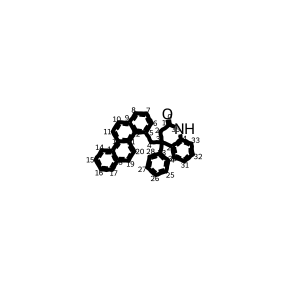 O=C1CC(Cc2cccc3ccc4c5ccccc5ccc4c23)(c2ccccc2)c2ccccc2N1